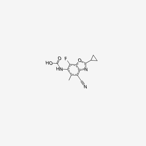 Cc1c(NC(=O)O)c(F)c2oc(C3CC3)nc2c1C#N